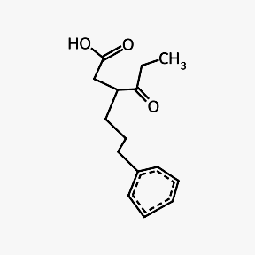 CCC(=O)C(CCCc1ccccc1)CC(=O)O